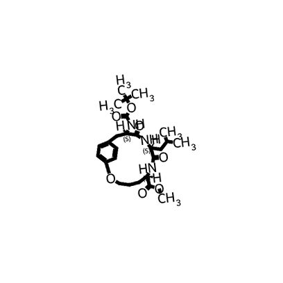 COC(=O)[C@@H]1CCCOc2ccc(cc2)C[C@H](NC(=O)OC(C)(C)C)C(=O)N[C@@H](CC(C)C)C(=O)N1